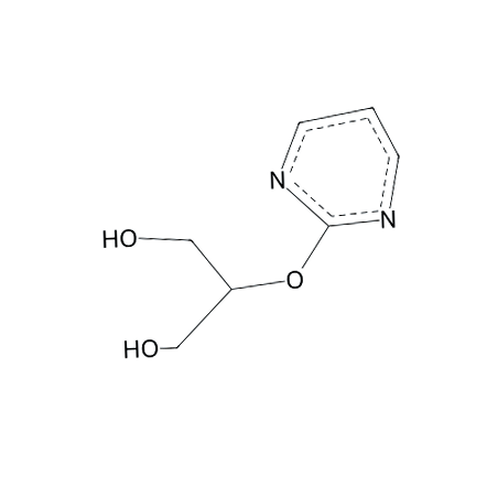 OCC(CO)Oc1ncccn1